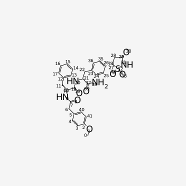 COc1ccc(CC(=O)N[C@@H](Cc2ccccc2)C(=O)NC(Cc2ccc([C@@H]3CC(=O)NS3(=O)=O)cc2)C(N)=O)cc1